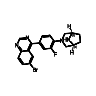 Fc1cc(-c2ncnc3ccc(Br)cc23)ccc1N1C[C@H]2CC[C@@H](C1)N2